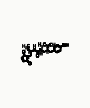 C=C[C@H](CN1C(=O)C=CC1=O)NC(=O)NC[C@H](Cc1ccc(O)cc1)N(C)C